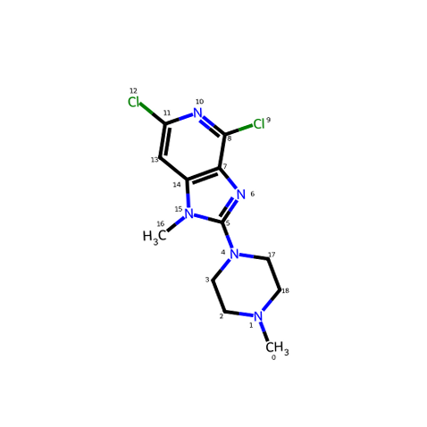 CN1CCN(c2nc3c(Cl)nc(Cl)cc3n2C)CC1